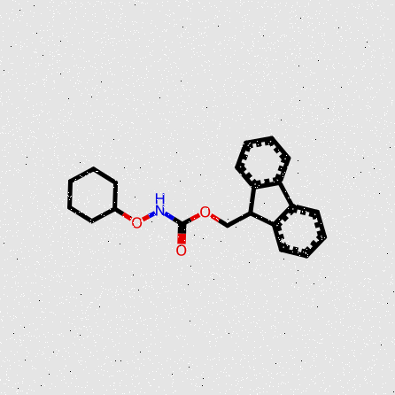 O=C(NOC1CCCCC1)OCC1c2ccccc2-c2ccccc21